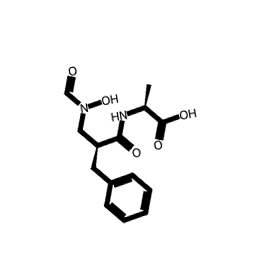 C[C@H](NC(=O)[C@@H](Cc1ccccc1)CN(O)C=O)C(=O)O